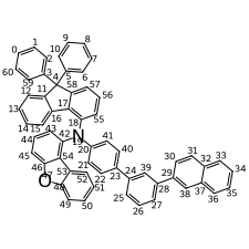 c1ccc(C2(c3ccccc3)c3ccccc3-c3c(N(c4ccc(-c5cccc(-c6ccc7ccccc7c6)c5)cc4)c4cccc5oc6ccccc6c45)cccc32)cc1